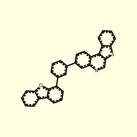 c1cc(-c2ccc3c(c2)ncc2sc4ccccc4c23)cc(-c2cccc3c2oc2ccccc23)c1